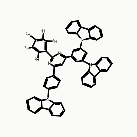 [2H]c1c([2H])c([2H])c(-c2nc(-c3ccc(-n4c5ccccc5c5ccccc54)cc3)cc(-c3cc(-n4c5ccccc5c5ccccc54)cc(-n4c5ccccc5c5ccccc54)c3)n2)c([2H])c1[2H]